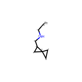 CC(C)CNCC1CC12CC2